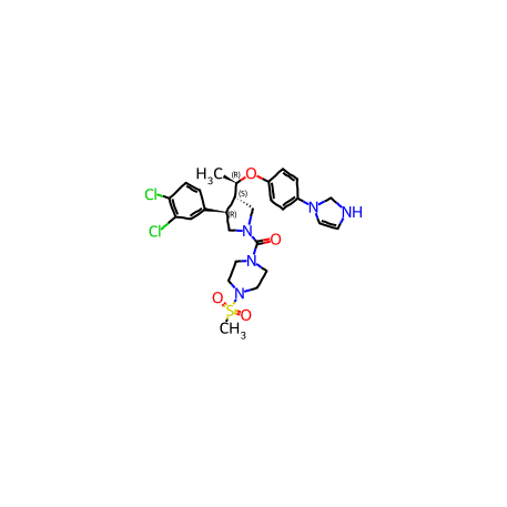 C[C@@H](Oc1ccc(N2C=CNC2)cc1)[C@@H]1CN(C(=O)N2CCN(S(C)(=O)=O)CC2)C[C@H]1c1ccc(Cl)c(Cl)c1